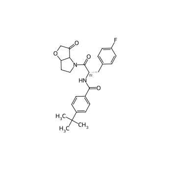 CC(C)(C)c1ccc(C(=O)N[C@@H](Cc2ccc(F)cc2)C(=O)N2CCC3OCC(=O)C32)cc1